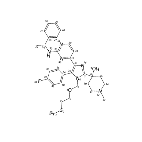 CC(C)SCCOCn1c(C2(O)CCN(C)CC2)nc(-c2ccnc(NC(C)c3ccccc3)n2)c1-c1ccc(F)cc1